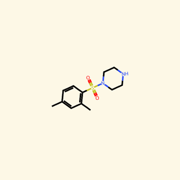 Cc1ccc(S(=O)(=O)N2CCNCC2)c(C)c1